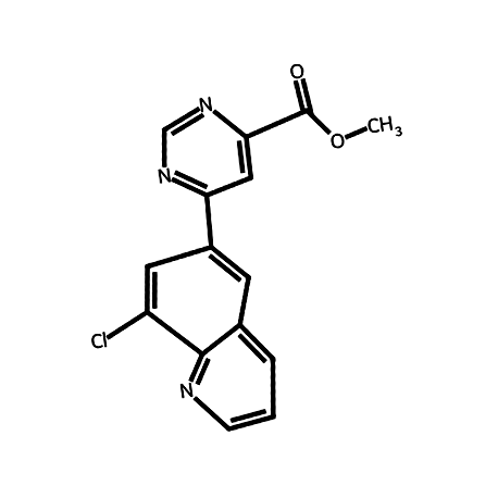 COC(=O)c1cc(-c2cc(Cl)c3ncccc3c2)ncn1